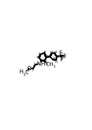 COCCNc1cccc(-c2ccc(C(F)(F)F)cc2)c1C